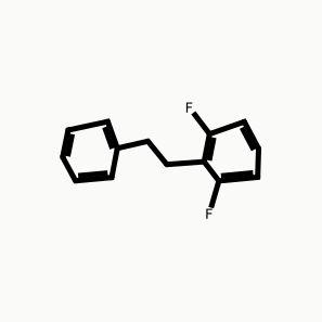 Fc1cccc(F)c1CCc1ccccc1